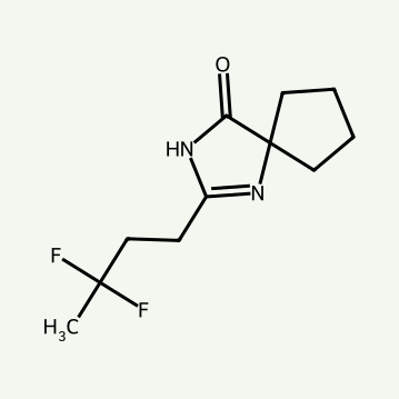 CC(F)(F)CCC1=NC2(CCCC2)C(=O)N1